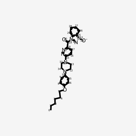 CCCCCCOc1ccc(N2CCN(c3ccc(C(=O)n4n[n+]([O-])c5ccccc54)nn3)CC2)cc1